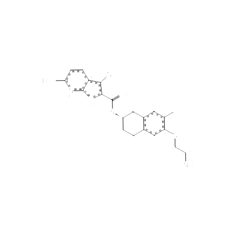 Cc1ccc2c(N)c(C(=O)N[C@@H]3CCc4cc(NCCN)c(F)cc4C3)sc2n1